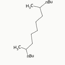 CCCCC(C)CCCCCC(C)CCCC